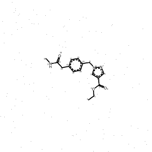 CCOC(=O)c1cnn(Cc2ccc(CC(=O)NC)cc2)c1